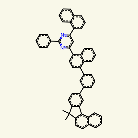 CC1(C)c2ccc(-c3cccc(-c4ccc(-c5cc(-c6cccc7ccccc67)nc(-c6ccccc6)n5)c5ccccc45)c3)cc2-c2c1ccc1ccccc21